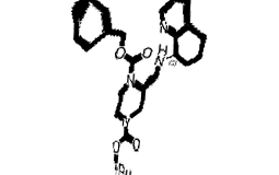 CC(C)(C)OC(=O)N1CCN(C(=O)OCc2ccccc2)C(CN[C@H]2CCCc3cccnc32)C1